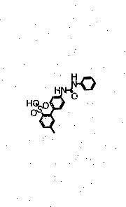 Cc1ccc(S(=O)(=O)O)c(-c2ccc(NC(=O)Nc3ccccc3)cc2)c1